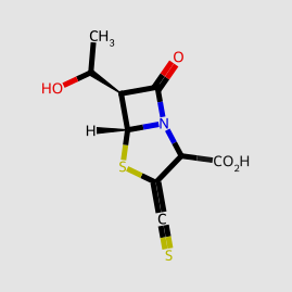 CC(O)[C@H]1C(=O)N2C(C(=O)O)C(=C=S)S[C@H]12